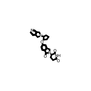 O=C1CCC(N2Cc3cc(OC4CCCC4N4Cc5ccncc5C4)ccc3C2=O)C(=O)N1